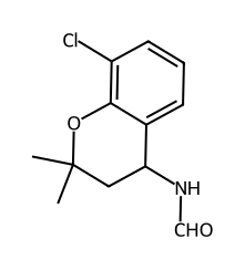 CC1(C)CC(NC=O)c2cccc(Cl)c2O1